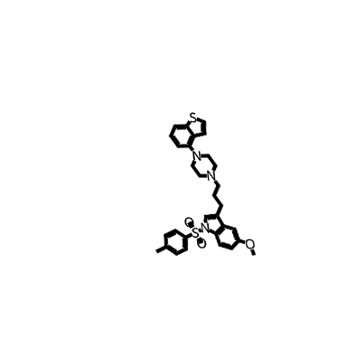 COc1ccc2c(c1)c(CCCN1CCN(c3cccc4sccc34)CC1)cn2S(=O)(=O)c1ccc(C)cc1